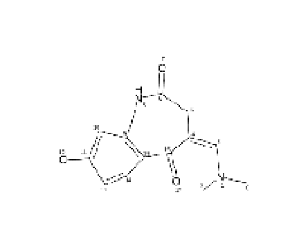 CN(C)C=C1CC(=O)Nc2cc(Cl)ccc2C1=O